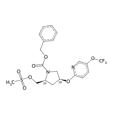 CS(=O)(=O)OC[C@@H]1C[C@H](Oc2ccc(OC(F)(F)F)cn2)CN1C(=O)OCc1ccccc1